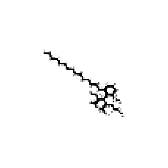 CCCCCCCCCCCCCCCc1cccc(OC)c1C1C(CC)=C(C)NC(C)=C1CCOC